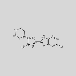 CN1N=C(c2cc3cc(Cl)ccc3[nH]2)SC1=C1[CH]CCCC1